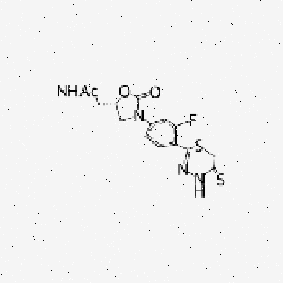 CC(=O)NC[C@H]1CN(c2ccc(C3=NNC(=S)CS3)c(F)c2)C(=O)O1